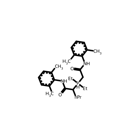 CCCC(C(=O)Nc1c(C)cccc1C)[PH](CC)(CC)CC(=O)Nc1c(C)cccc1C